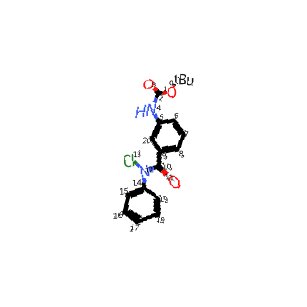 CC(C)(C)OC(=O)Nc1cccc(C(=O)N(Cl)c2ccccc2)c1